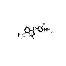 Cc1cc(Oc2ccc(N)c(F)c2)c2cccc(C(F)(F)F)c2n1